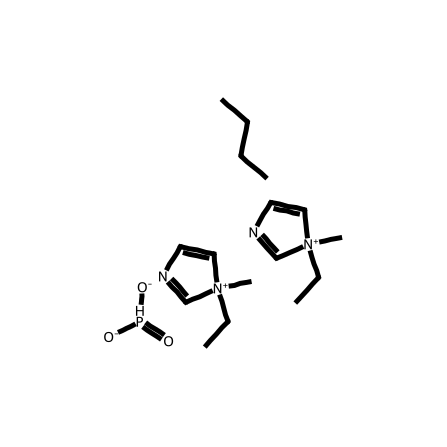 CCCC.CC[N+]1(C)C=CN=C1.CC[N+]1(C)C=CN=C1.O=[PH]([O-])[O-]